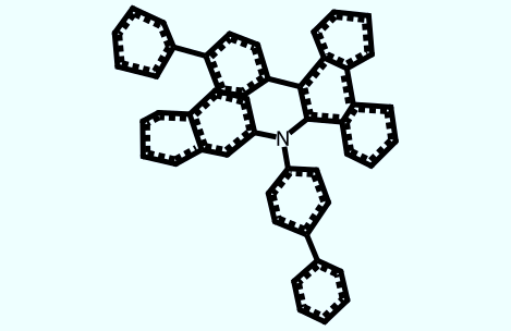 c1ccc(-c2ccc(-c3c(N(c4ccc(-c5ccccc5)cc4)c4ccc5ccccc5c4)c4ccccc4c4ccccc34)cc2)cc1